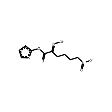 O=C(Oc1cccs1)C(CCCC[N+](=O)[O-])=NO